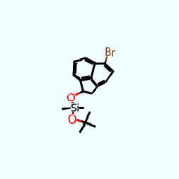 CC(C)(C)O[Si](C)(C)OC1Cc2ccc(Br)c3cccc1c23